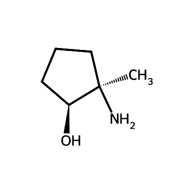 C[C@@]1(N)CCC[C@@H]1O